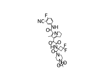 Cc1c(C(=O)C(=O)NC2(C(=O)N3CCN(S(C)(=O)=O)CC3)CC(F)(F)C2)c2n(c1C(=O)Nc1ccc(F)c(C#N)c1)CCC2